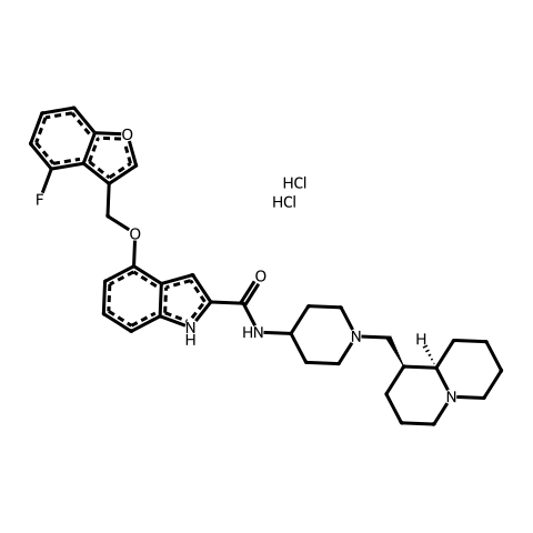 Cl.Cl.O=C(NC1CCN(C[C@@H]2CCCN3CCCC[C@H]23)CC1)c1cc2c(OCc3coc4cccc(F)c34)cccc2[nH]1